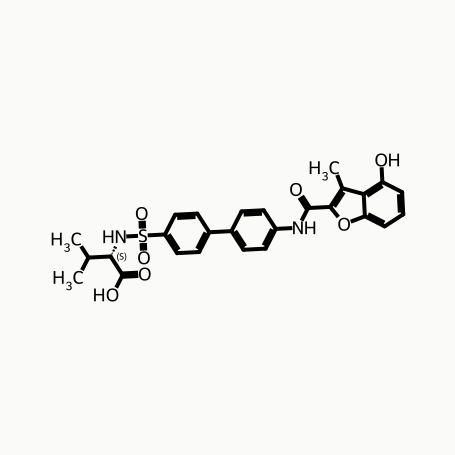 Cc1c(C(=O)Nc2ccc(-c3ccc(S(=O)(=O)N[C@H](C(=O)O)C(C)C)cc3)cc2)oc2cccc(O)c12